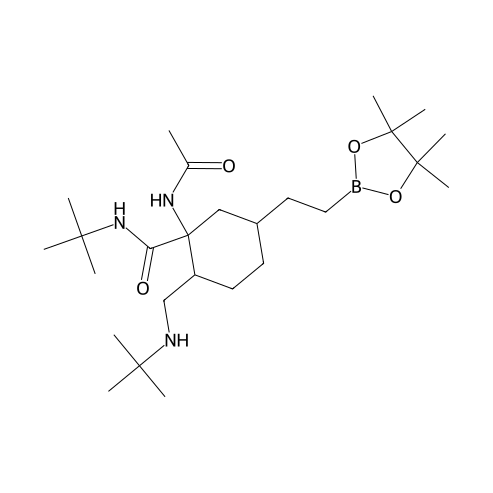 CC(=O)NC1(C(=O)NC(C)(C)C)CC(CCB2OC(C)(C)C(C)(C)O2)CCC1CNC(C)(C)C